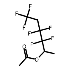 CC(=O)OC(C)C(F)(F)C(F)(F)CC(F)(F)F